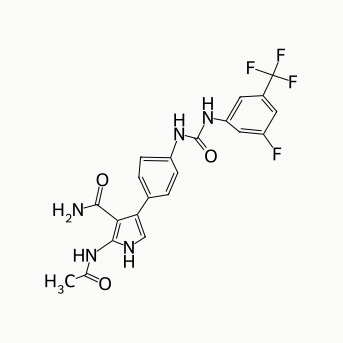 CC(=O)Nc1[nH]cc(-c2ccc(NC(=O)Nc3cc(F)cc(C(F)(F)F)c3)cc2)c1C(N)=O